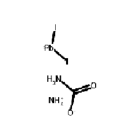 NC(=O)[O-].[I][Pb][I].[NH4+]